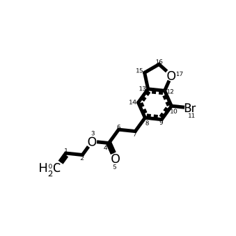 C=CCOC(=O)CCc1cc(Br)c2c(c1)CCO2